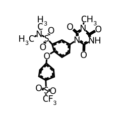 CN(C)S(=O)(=O)c1cc(-n2c(=O)[nH]c(=O)n(C)c2=O)ccc1Oc1ccc(S(=O)(=O)C(F)(F)F)cc1